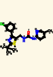 Cc1ccc(NC(=O)NCc2sc(C(C)(C)C)nc2-c2cccc(Cl)c2)nc1